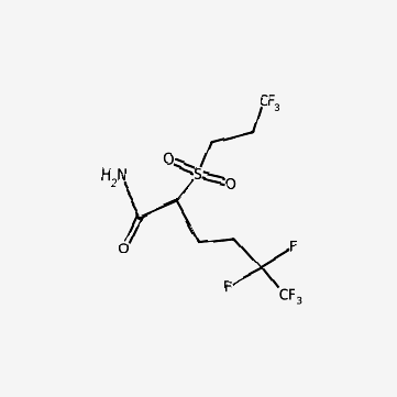 NC(=O)C(CCC(F)(F)C(F)(F)F)S(=O)(=O)CCC(F)(F)F